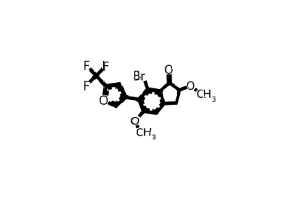 COc1cc2c(c(Br)c1-c1coc(C(F)(F)F)c1)C(=O)C(OC)C2